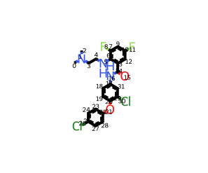 CN(C)CCNc1c(F)cc(F)cc1C(=O)Nc1ccc(Oc2ccc(Cl)cc2)c(Cl)c1